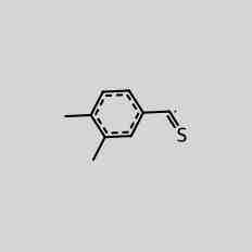 Cc1ccc([C]=S)cc1C